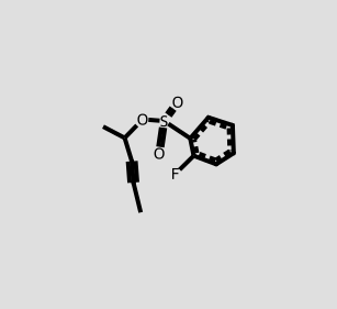 CC#CC(C)OS(=O)(=O)c1ccccc1F